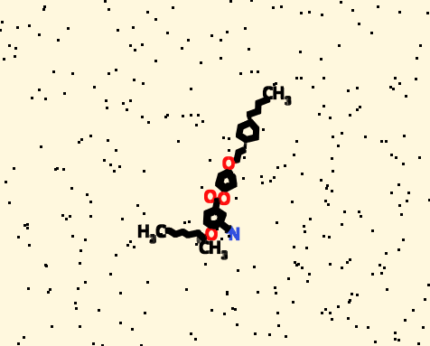 CCCCCC[C@H](C)Oc1ccc(C(=O)Oc2ccc(OCCC[C@H]3CC[C@H](CCCCC)CC3)cc2)cc1C#N